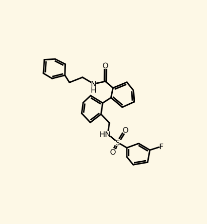 O=C(NCCc1ccccc1)c1ccccc1-c1ccccc1CNS(=O)(=O)c1cccc(F)c1